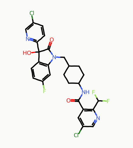 O=C(NC1CCC(CN2C(=O)C(O)(c3ccc(Cl)cn3)c3ccc(F)cc32)CC1)c1cc(Cl)cnc1C(F)F